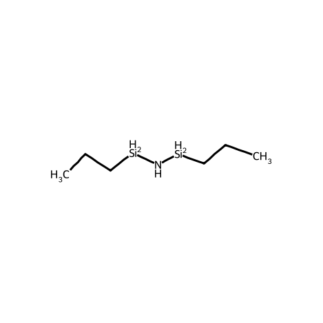 CCC[SiH2]N[SiH2]CCC